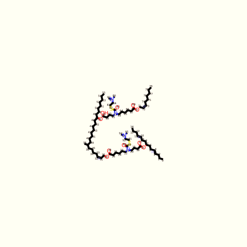 CCC/C=C/CCC(CC/C=C/CCC)OC(=O)CCCN(CCCCCC(=O)OC/C=C\CCCCC(C)CCCCCCCCC(CCCCCCCC)OC(O)CCCN(CCCCCC(=O)OC/C=C\CCCCCC)C(=O)SCCN(C)C)C(=O)SCCN(C)C